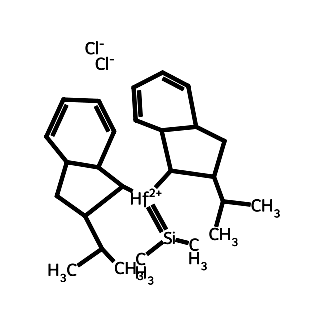 CC(C)C1CC2C=CC=CC2[CH]1[Hf+2]([CH]1C2C=CC=CC2CC1C(C)C)=[Si](C)C.[Cl-].[Cl-]